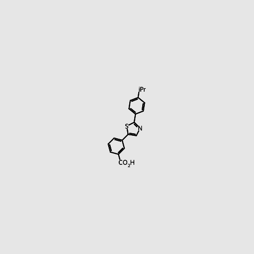 CC(C)c1ccc(-c2ncc(-c3cccc(C(=O)O)c3)s2)cc1